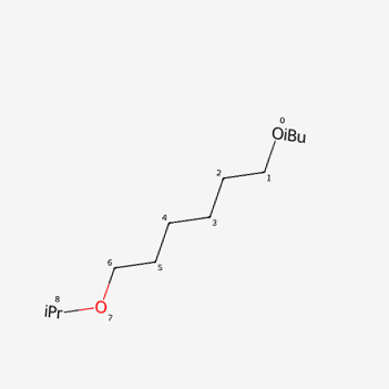 CC(C)COCCCCCCOC(C)C